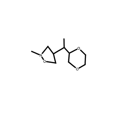 C[C](C1CON(C)C1)C1COCCO1